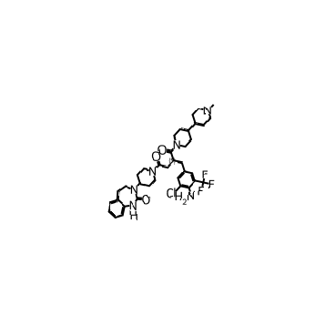 CN1CCC(C2CCN(C(=O)[C@H](CC(=O)N3CCC(N4CCc5ccccc5NC4=O)CC3)Cc3cc(Cl)c(N)c(C(F)(F)F)c3)CC2)CC1